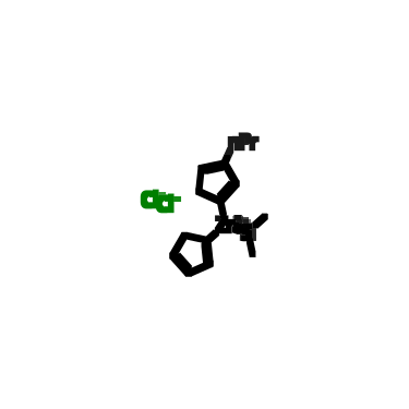 CCCC1=CC[C]([Zr+2]([C]2=CC=CC2)=[Si](C)C)=C1.[Cl-].[Cl-]